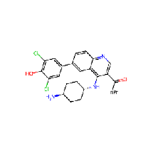 CCCC(=O)c1cnc2ccc(-c3cc(Cl)c(O)c(Cl)c3)cc2c1N[C@H]1CC[C@H](N)CC1